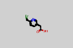 O=C(O)Cc1ccc(CBr)nc1